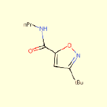 CCCNC(=O)c1cc(C(C)(C)C)no1